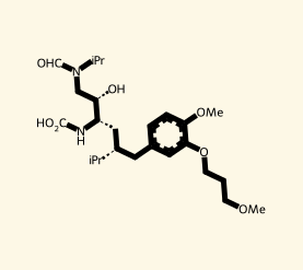 COCCCOc1cc(C[C@@H](C[C@H](NC(=O)O)[C@@H](O)CN(C=O)C(C)C)C(C)C)ccc1OC